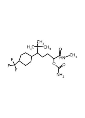 CNC(=O)C(CCC(C1CCC(C(F)(F)F)CC1)C(C)(C)C)OC(N)=O